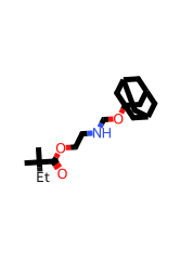 CCC(C)(C)C(=O)OCCNCOC12CC3CC(CC(C3)C1)C2